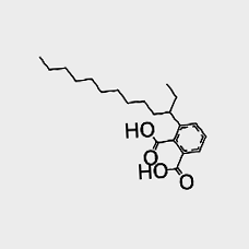 CCCCCCCCCCC(CC)c1cccc(C(=O)O)c1C(=O)O